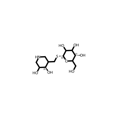 OCC1O[C@H](SCC2CNCC(O)[C@@H]2O)C(O)C(O)[C@@H]1O